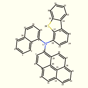 c1ccc2c(N(c3ccc4ccc5cccc6ccc3c4c56)c3cccc4c3sc3ccccc34)cccc2c1